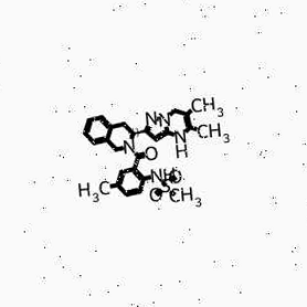 CC1=C(C)Nc2cc([C@@H]3Cc4ccccc4CN3C(=O)c3cc(C)ccc3NS(C)(=O)=O)nn2C1